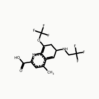 Cc1cc(C(=O)O)nc2c1=CC(NCC(F)(F)F)CC=2OC(F)(F)F